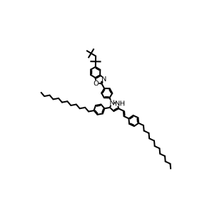 CCCCCCCCCCCCc1ccc(C=CC2=CC(c3ccc(CCCCCCCCCCCC)cc3)N(c3ccc(-c4nc5cc(C(C)(C)CC(C)(C)C)ccc5o4)cc3)N2)cc1